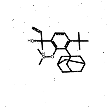 C=CC(C)(O)c1ccc(C(C)(C)C)c(C23CC4CC(CC(C4)C2)C3)c1O[SiH](C)C